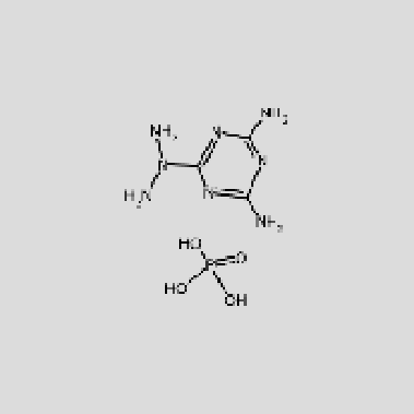 Nc1nc(N)nc(N(N)N)n1.O=P(O)(O)O